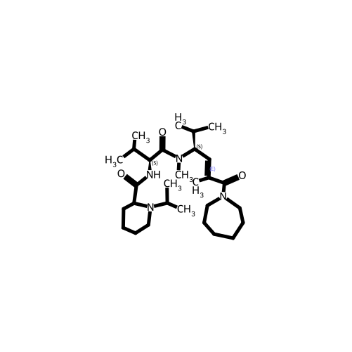 C/C(=C\[C@H](C(C)C)N(C)C(=O)[C@@H](NC(=O)C1CCCCN1C(C)C)C(C)C)C(=O)N1CCCCCC1